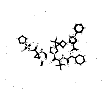 C=C[C@@H]1C[C@]1(NC(=O)[C@@H]1C[C@@]2(CN1C(=O)[C@@H](NC(=O)[C@@H](NC(=O)c1cnn(-c3ccccc3)c1)C1CCCCC1)C(C)(C)C)C(C)(C)C21CCC1)C(=O)NS(=O)(=O)N1CCCC1